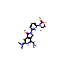 C[C@H]1COC(=O)N1c1cccc(N2Cc3c(cc(N(C)C)nc3CN)C2=O)n1